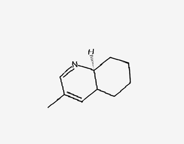 CC1=CC2CCCC[C@@H]2N=C1